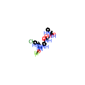 C=C1C(=O)C(NCC[C@H](NC(=O)c2ccc(Nc3nc(NC4(c5ccc(Cl)cc5)CC4)nc(OCC(F)(F)F)n3)cc2)C(=O)O)=C1Nc1ccccc1